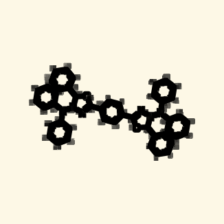 c1ccc(C2OC(c3ccc(C4=NN(N(c5ccccc5)c5ccccc5)C(c5ccccc5)O4)cc3)=NN2N(c2ccccc2)c2ccccc2)cc1